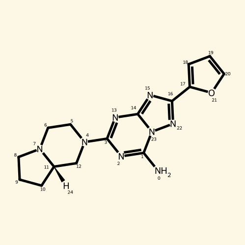 Nc1nc(N2CCN3CCC[C@H]3C2)nc2nc(-c3ccco3)nn12